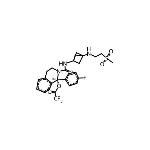 CS(=O)(=O)CCNC12CC(NC(=O)N3CCc4ccccc4[C@@]3(OC(=O)C(F)(F)F)c3ccc(F)cc3)(C1)C2